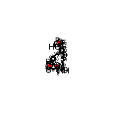 CCC1(c2ccc3c(c2)OCO3)NC(=O)N(CCCCOc2ccc(C(O)(C(F)(F)F)C(F)(F)F)cc2CCc2ccc(C(F)(F)F)cc2)C1=O